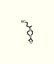 CC(CCC#N)N1CCN(C2COC2)CC1